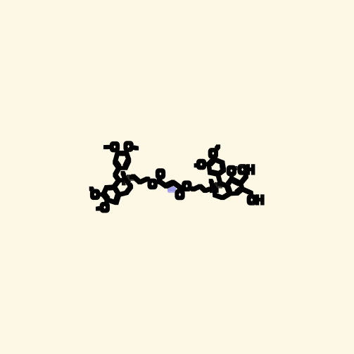 COc1ccc(CC2c3cc(OC)c(OC)cc3CC[N+]2(C)CCCOC(=O)/C=C/C(=O)OCCC[N+]2(C)CCc3cc(CO)c(CO)c(OC)c3C2c2ccc(OC)c(OC)c2)cc1OC